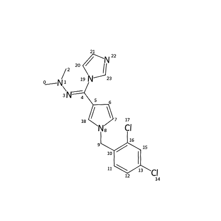 CN(C)N=C(c1ccn(Cc2ccc(Cl)cc2Cl)c1)n1ccnc1